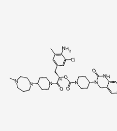 Cc1cc(C[C@@H](OC(=O)N2CCC(N3Cc4ccccc4NC3=O)CC2)C(=O)N2CCC(N3CCCN(C)CC3)CC2)cc(Cl)c1N